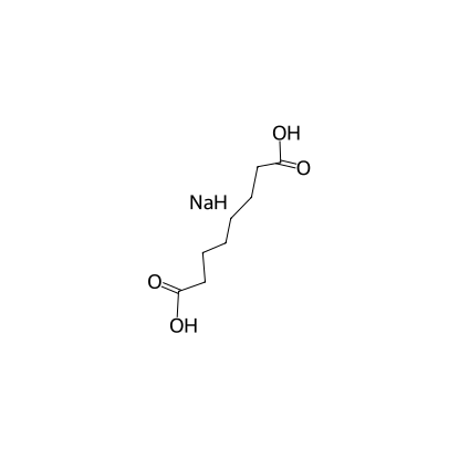 O=C(O)CCCCCCC(=O)O.[NaH]